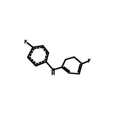 FC1=CC=C(Nc2ccc(F)cc2)CC1